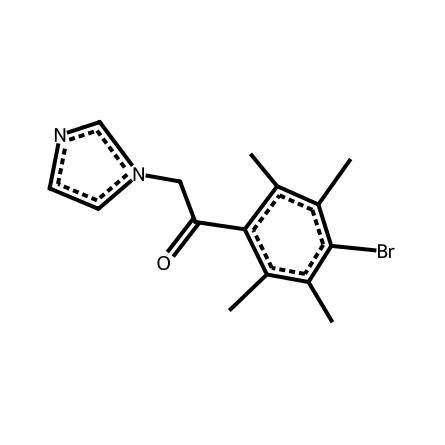 Cc1c(C)c(C(=O)Cn2ccnc2)c(C)c(C)c1Br